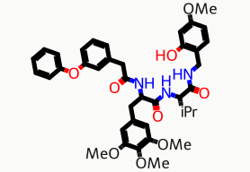 COc1ccc(CNC(=O)C(NC(=O)C(Cc2cc(OC)c(OC)c(OC)c2)NC(=O)Cc2cccc(Oc3ccccc3)c2)C(C)C)c(O)c1